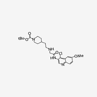 COc1ccc2ncc(NC(=O)CNCCC3CCN(C(=O)OC(C)(C)C)CC3)c(Cl)c2c1